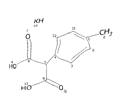 Cc1ccc(C(C(=O)O)C(=O)O)cc1.[KH]